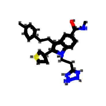 CNC(=O)c1ccc2c(c1)c(CCc1ccc(C)cc1)c(-c1ccsc1)n2CCc1nn[nH]n1